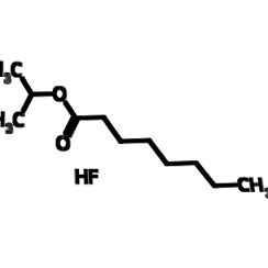 CCCCCCCC(=O)OC(C)C.F